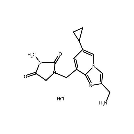 CN1C(=O)CN(Cc2cc(C3CC3)cn3cc(CN)nc23)C1=O.Cl